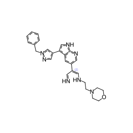 N=C/C(=C\NCCN1CCOCC1)c1cnc2[nH]cc(-c3cnn(Cc4ccccc4)c3)c2c1